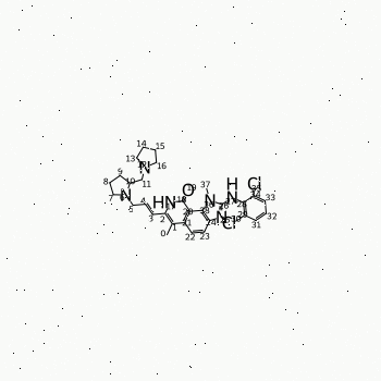 Cc1c(/C=C/CN2CCCC2CN2CCCC2)[nH]c(=O)c2c1ccc1nc(Nc3c(Cl)cccc3Cl)n(C)c12